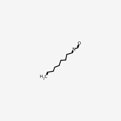 C=CCCCCCCC=NC=O